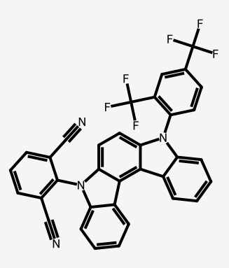 N#Cc1cccc(C#N)c1-n1c2ccccc2c2c3c4ccccc4n(-c4ccc(C(F)(F)F)cc4C(F)(F)F)c3ccc21